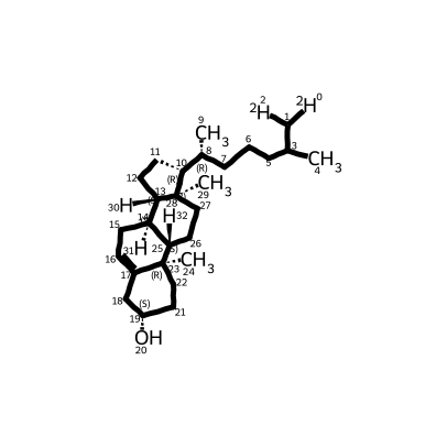 [2H]C([2H])C(C)CCC[C@@H](C)[C@H]1CC[C@H]2[C@@H]3CC=C4C[C@@H](O)CC[C@]4(C)[C@H]3CC[C@]12C